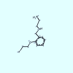 NCCNCc1ccccc1OCCF